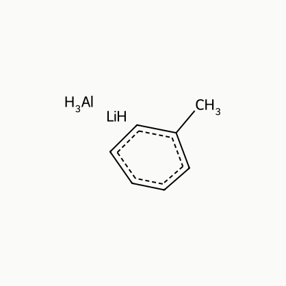 Cc1ccccc1.[AlH3].[LiH]